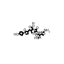 Nc1nc(/C(=N/O)C(=O)N[C@@H]2C(=O)N3C(C(=O)O)=C(/C=C4\CCN(c5ccc(O)cc5)C4=O)CS[C@H]23)cs1